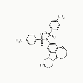 Cc1ccc(S(=O)(=O)N(c2cc3c4c(c2)C2CNCCC2N4CCCS3)S(=O)(=O)c2ccc(C)cc2)cc1